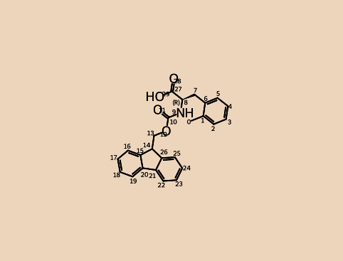 Cc1ccccc1C[C@@H](NC(=O)OCC1c2ccccc2-c2ccccc21)C(=O)O